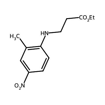 CCOC(=O)CCNc1ccc([N+](=O)[O-])cc1C